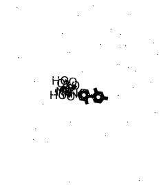 CNC(=O)C(C(=O)O)(C(=O)O)C(=O)Nc1ccc(-c2ccc(C)cc2C)c(C)c1